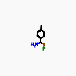 Cc1ccc(C(N)SF)cc1